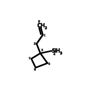 C=CCC1([SiH3])CCC1